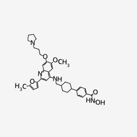 COc1cc2c(NCC3CCC(c4ccc(C(=O)NO)cc4)CC3)cc(-c3ccc(C)o3)nc2cc1OCCCN1CCCC1